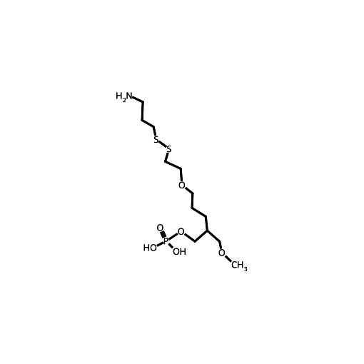 COCC(CCCOCCSSCCCN)COP(=O)(O)O